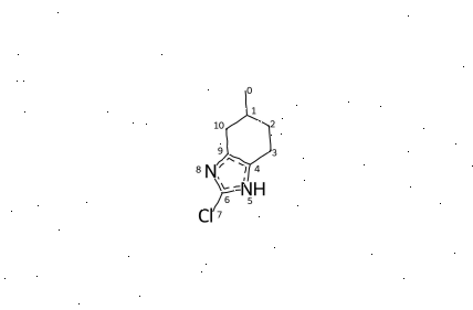 CC1CCc2[nH]c(Cl)nc2C1